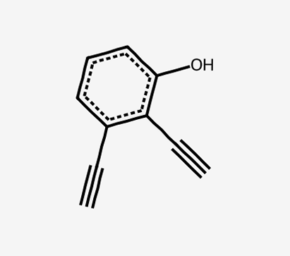 C#Cc1cccc(O)c1C#C